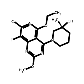 CCOc1nc(Cl)c(F)c2nc(SC)nc(N3CCC[C@@](C)(O)C3)c12